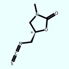 CN1C[C@H](CN=C=S)OC1=O